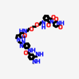 CNc1ccc(C(=O)Nc2ccc3[nH]c(CN4CCC(CC(=O)NCCOCCOCCNc5cccc6c5C(=O)N(C5CCC(=O)NC5=O)C6=O)C4)nc3c2)cc1C=N